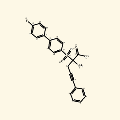 NC(CC#Cc1ccccc1)(C(=O)O)S(=O)(=O)c1ccc(-c2ccc(F)cc2)cc1